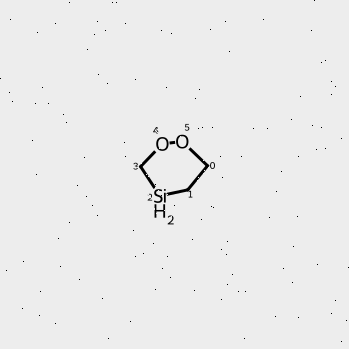 C1C[SiH2]COO1